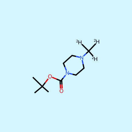 [2H]C([2H])([2H])N1CCN(C(=O)OC(C)(C)C)CC1